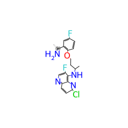 CC(CCOc1ccc(F)cc1[C@@H](C)N)Nc1c(F)cnc2ccc(Cl)nc12